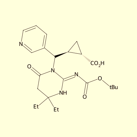 CCC1(CC)CC(=O)N(C(c2cccnc2)[C@H]2C[C@@H]2C(=O)O)/C(=N/C(=O)OC(C)(C)C)N1